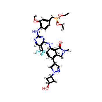 CCOP(Cc1ccc(Nc2ncc(C(F)(F)F)c(Nc3ccc(-c4cnn(C5CC(O)C5)c4)c4c3C(=O)N(C)C4)n2)c(OC)c1)OCC